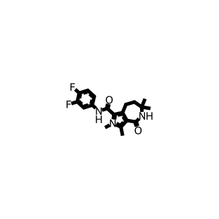 Cc1c2c(c(C(=O)Nc3ccc(F)c(F)c3)n1C)CCC(C)(C)NC2=O